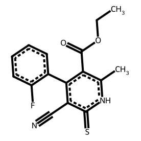 CCOC(=O)c1c(C)[nH]c(=S)c(C#N)c1-c1ccccc1F